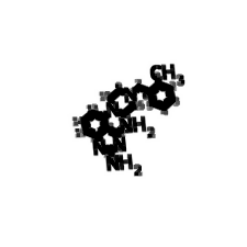 Cc1ccccc1CN1CCN(c2cccc3nc(N)nc(N)c23)CC1